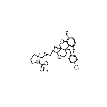 C[C@@]1(CSCC[C@@H]2OCC[C@@]3(Cc4ccc(Cl)cc4)c4c(F)ccc(F)c4OC[C@@H]23)CCCN1C(=O)C(F)(F)F